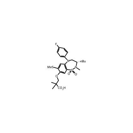 CCCC[C@H]1CN(c2ccc(F)cc2)c2cc(SC)c(OCC(C)(C)C(=O)O)cc2S(=O)(=O)N1C